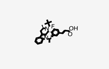 CC(C)n1c2c(c3ccccc31)C[C@@H](C)N(CC(C)(C)C)[C@@H]2c1c(F)cc(/C=C/C(=O)O)cc1F